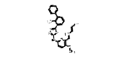 COc1ccc(Nc2nnc(-c3cccc(-c4ccccc4)c3C)o2)nc1CNCCO